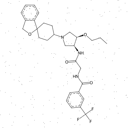 CCCO[C@@H]1CN(C2CCC3(CC2)OCc2ccccc23)C[C@@H]1NC(=O)CNC(=O)c1cccc(C(F)(F)F)c1